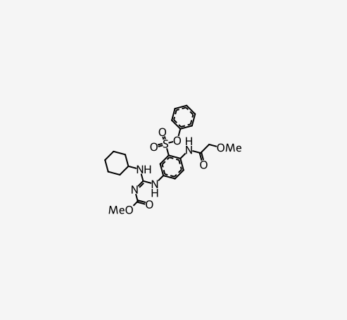 COCC(=O)Nc1ccc(NC(=NC(=O)OC)NC2CCCCC2)cc1S(=O)(=O)Oc1ccccc1